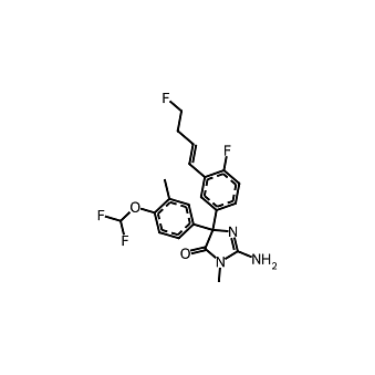 Cc1cc(C2(c3ccc(F)c(/C=C/CCF)c3)N=C(N)N(C)C2=O)ccc1OC(F)F